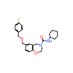 O=C(NC1CCCCC1)N1CCOc2ccc(COCc3ccc(F)cc3)cc2C1